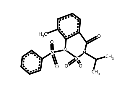 Cc1cccc2c1N(S(=O)(=O)c1ccccc1)S(=O)(=O)N(C(C)C)C2=O